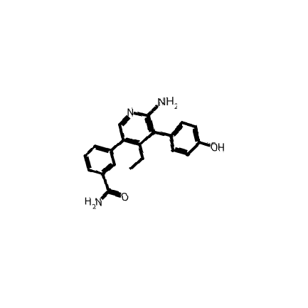 CCc1c(-c2cccc(C(N)=O)c2)cnc(N)c1-c1ccc(O)cc1